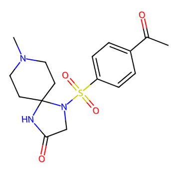 CC(=O)c1ccc(S(=O)(=O)N2CC(=O)NC23CCN(C)CC3)cc1